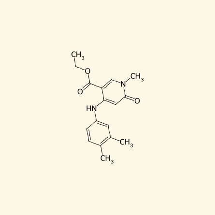 CCOC(=O)c1cn(C)c(=O)cc1Nc1ccc(C)c(C)c1